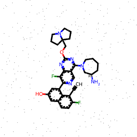 C#Cc1c(F)ccc2cc(O)cc(-c3ncc4c(N5CCCC[C@@H](N)C5)nc(OCC56CCCN5CCC6)nc4c3F)c12